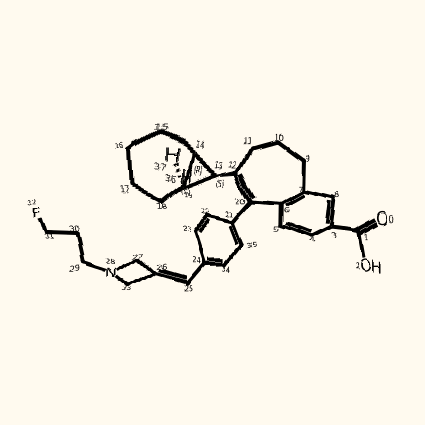 O=C(O)c1ccc2c(c1)CCCC([C@@H]1[C@@H]3CCCC[C@@H]31)=C2c1ccc(C=C2CN(CCCF)C2)cc1